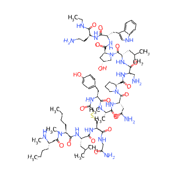 CCCC[C@H](NC)C(=O)N(C)[C@@H](CCCC)C(=O)N[C@@H](CC(C)C)C(=O)N[C@@H](CSCC(=O)N[C@@H](Cc1ccc(O)cc1)C(=O)N(C)[C@@H](C)C(=O)N[C@@H](CC(N)=O)C(=O)N1CCC[C@H]1C(=O)NC(CN)C(=O)N[C@@H](CC(C)C)C(=O)N1C[C@H](O)C[C@H]1C(=O)N[C@@H](Cc1c[nH]c2ccccc12)C(=O)N[C@@H](CCN)C(=O)NCC)C(=O)NCC(N)=O